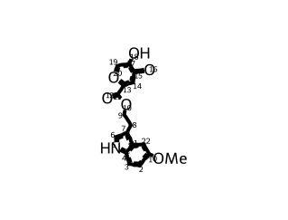 COc1ccc2[nH]cc(CCOC(=O)c3cc(=O)c(O)co3)c2c1